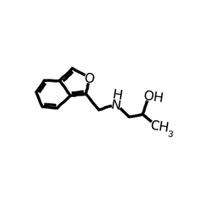 CC(O)CNCc1occ2ccccc12